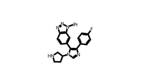 CC(C)n1nnc2ccc(-c3c(-c4ccc(F)cc4)ncn3C3CCNC3)cc21